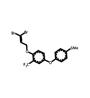 CSc1ccc(Oc2ccc(OCC=C(Br)Br)c(C(F)(F)F)c2)cc1